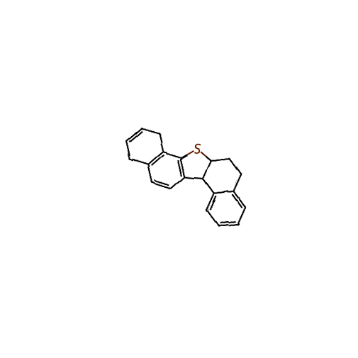 C1=CCc2c(ccc3c2SC2CCc4ccccc4C32)C1